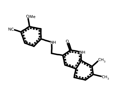 COc1cc(NCc2cc3ccc(C)c(C)c3[nH]c2=O)ccc1C#N